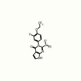 CC[S+]([O-])c1nc2[nH]ccc2c(=O)n1-c1ccc(OCC(F)(F)F)c(F)c1